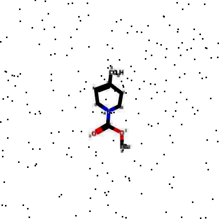 CCCCOC(=O)N1CC=C(C(=O)O)CC1